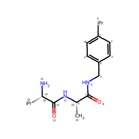 CC(C)c1ccc(CNC(=O)[C@H](C)NC(=O)[C@@H](N)C(C)C)cc1